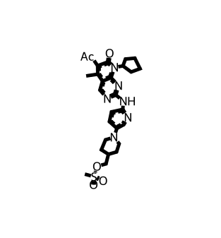 CC(=O)c1c(C)c2cnc(Nc3ccc(N4CCC(COS(C)(=O)=O)CC4)cn3)nc2n(C2CCCC2)c1=O